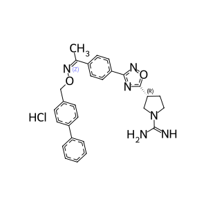 C/C(=N/OCc1ccc(-c2ccccc2)cc1)c1ccc(-c2noc([C@@H]3CCN(C(=N)N)C3)n2)cc1.Cl